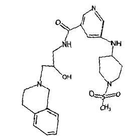 CS(=O)(=O)N1CCC(Nc2cncc(C(=O)NCC(O)CN3CCc4ccccc4C3)c2)CC1